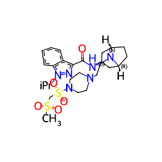 CC(C)n1nc(C(=O)N[C@@H]2C[C@H]3CC[C@@H](C2)N3CCN2CCN(S(=O)(=O)CS(C)(=O)=O)CC2)c2ccccc21